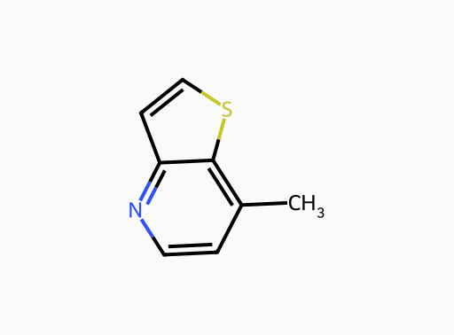 Cc1ccnc2ccsc12